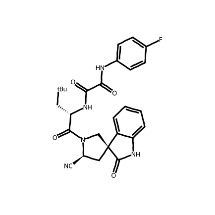 CC(C)(C)C[C@H](NC(=O)C(=O)Nc1ccc(F)cc1)C(=O)N1C[C@]2(C[C@H]1C#N)C(=O)Nc1ccccc12